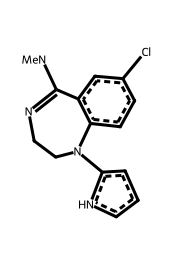 CNC1=NCCN(c2ccc[nH]2)c2ccc(Cl)cc21